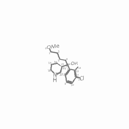 COCCCC[C@@](O)(c1cccc(Cl)c1C)[C@@H]1CCCNC1